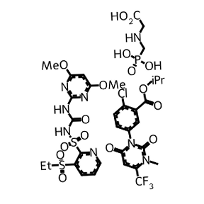 CC(C)OC(=O)c1cc(-n2c(=O)cc(C(F)(F)F)n(C)c2=O)ccc1Cl.CCS(=O)(=O)c1cccnc1S(=O)(=O)NC(=O)Nc1nc(OC)cc(OC)n1.O=C(O)CNCP(=O)(O)O